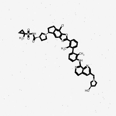 Cc1c(Nc2nccc3cc(CN4CC[C@@H](O)C4)cnc23)cccc1-c1cccc(-c2nc3cc4c(c(Cl)c3o2)CC[C@H]4N2CC[C@@H](C(=O)NS(=O)(=O)C3(C)CC3)C2)c1C